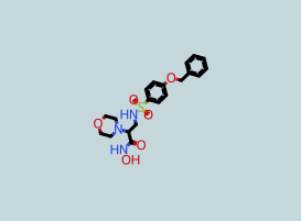 O=C(NO)C(CNS(=O)(=O)c1ccc(OCc2ccccc2)cc1)N1CCOCC1